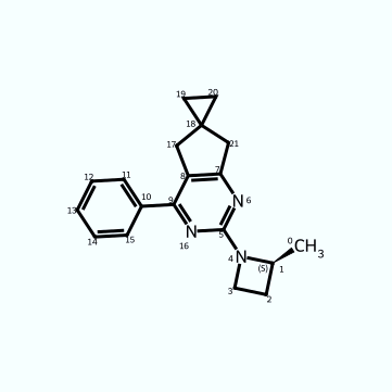 C[C@H]1CCN1c1nc2c(c(-c3ccccc3)n1)CC1(CC1)C2